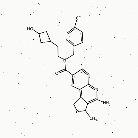 CC1OCc2c1c(N)nc1ccc(C(=O)N(CCC3CC(O)C3)Cc3ccc(C(F)(F)F)cn3)cc21